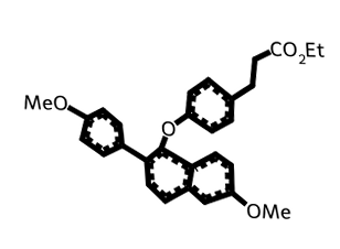 CCOC(=O)CCc1ccc(Oc2c(-c3ccc(OC)cc3)ccc3cc(OC)ccc23)cc1